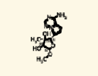 CO[C@H]1O[C@@H](c2ccc3c(N)ncnn23)[C@](C)(O)[C@@H]1O